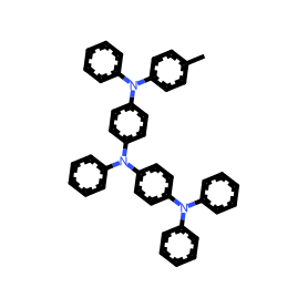 Cc1ccc(N(c2ccccc2)c2ccc(N(c3ccccc3)c3ccc(N(c4ccccc4)c4ccccc4)cc3)cc2)cc1